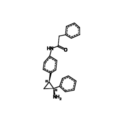 N[C@@]1(c2ccccc2)C[C@H]1c1ccc(NC(=O)Cc2ccccc2)cc1